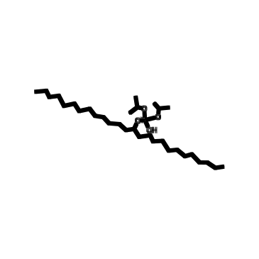 CCCCCCCCCCCCCC(CCCCCCCCCCCC)[O][Ti]([OH])([O]C(C)C)[O]C(C)C